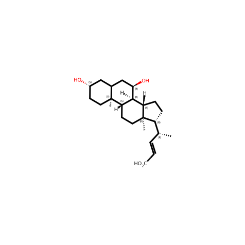 C[C@H](C=CC(=O)O)[C@H]1CC[C@H]2[C@@H]3[C@H](O)CC4C[C@@H](O)CC[C@]4(C)[C@H]3CC[C@]12C